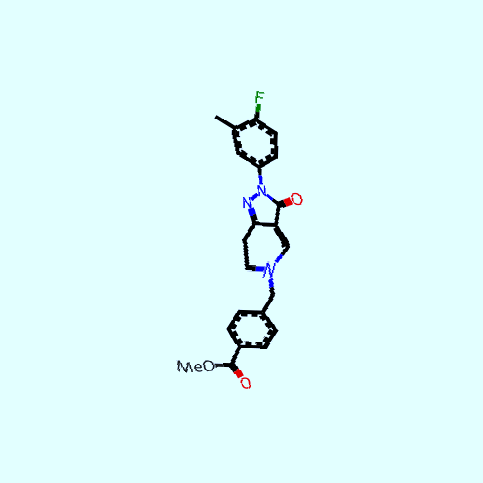 COC(=O)c1ccc(CN2C=C3C(=O)N(c4ccc(F)c(C)c4)N=C3CC2)cc1